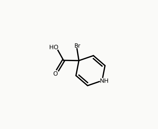 O=C(O)C1(Br)C=CNC=C1